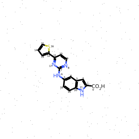 O=C(O)c1cc2cc(Nc3nccc(-c4cccs4)n3)ccc2[nH]1